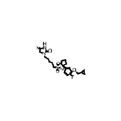 O=C1NC(=S)CN1CCCCCS(=O)(=O)NC1(c2ccc(F)c(OCC3CC3)c2)CCCC1